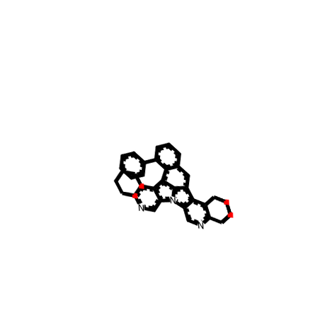 c1ccc(-c2cccc3cc4c5c6c(ncc5n5c7cnc8c(c7c(c23)c45)C2CCC8CC2)C2CCC6CC2)cc1